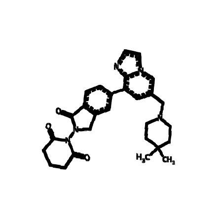 CC1(C)CCN(Cc2cc(-c3ccc4c(c3)CN(N3C(=O)CCCC3=O)C4=O)c3nccn3c2)CC1